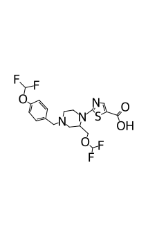 O=C(O)c1cnc(N2CCN(Cc3ccc(OC(F)F)cc3)CC2COC(F)F)s1